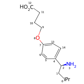 CC(C)C[C@H](N)c1ccc(OCCCC(=O)O)cc1